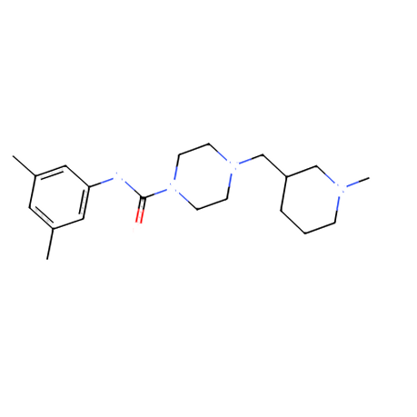 Cc1cc(C)cc(NC(=O)N2CCN(CC3CCCN(C)C3)CC2)c1